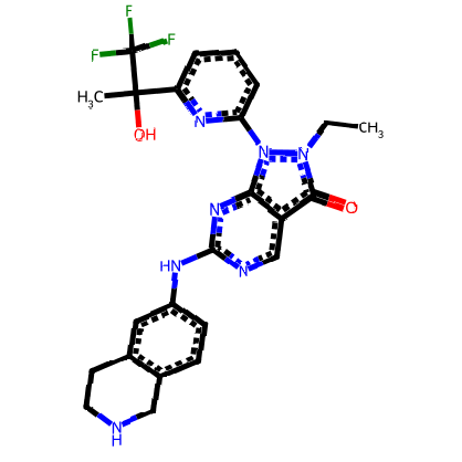 CCn1c(=O)c2cnc(Nc3ccc4c(c3)CCNC4)nc2n1-c1cccc(C(C)(O)C(F)(F)F)n1